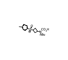 CCCCN(C(=O)O)C1CC(S(=O)(=O)c2ccc(C)cc2)C1